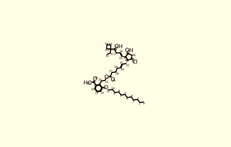 CCCCCCCCCCCCOc1cccc(C(=O)O)c1CCOC(=O)CCCC=CC[C@@H]1[C@@H](C=CC[C@H](O)C2(CC)CCC2)[C@H](O)C[C@H]1Cl